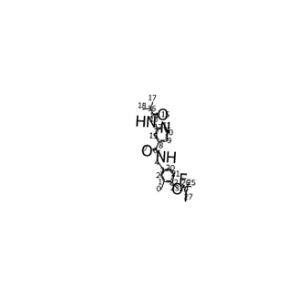 Cc1cc(CNC(=O)c2ccnc(NC(=O)C(C)C)c2)ccc1OC(C)(F)I